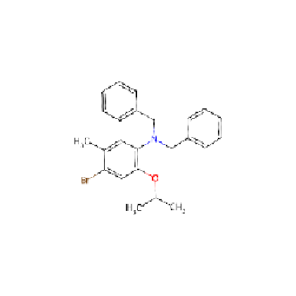 Cc1cc(N(Cc2ccccc2)Cc2ccccc2)c(OC(C)C)cc1Br